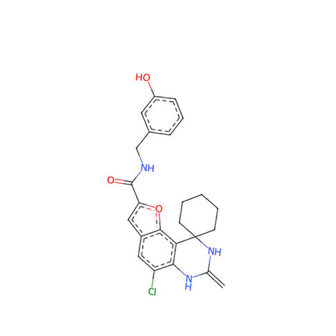 C=C1Nc2c(Cl)cc3cc(C(=O)NCc4cccc(O)c4)oc3c2C2(CCCCC2)N1